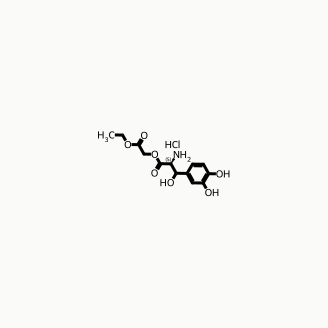 CCOC(=O)COC(=O)[C@@H](N)C(O)c1ccc(O)c(O)c1.Cl